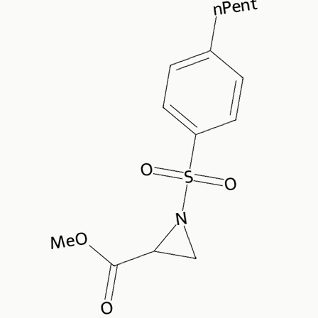 CCCCCc1ccc(S(=O)(=O)N2CC2C(=O)OC)cc1